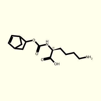 NCCCC[C@H](NC(=O)OC1CC2C=CC1C2)C(=O)O